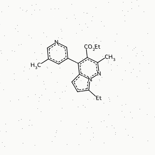 CCOC(=O)c1c(C)nn2c(CC)ccc2c1-c1cncc(C)c1